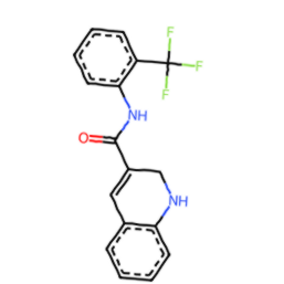 O=C(Nc1ccccc1C(F)(F)F)C1=Cc2ccccc2NC1